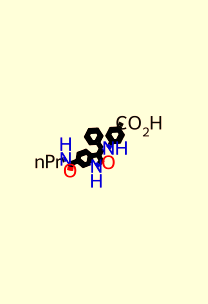 CCCNC(=O)c1ccc2c(c1)NC(=O)/C2=C(\Nc1ccc(C(=O)O)cc1)c1ccccc1